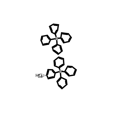 Cl.[Ca+2].c1ccc([B-](c2ccccc2)(c2ccccc2)c2ccccc2)cc1.c1ccc([B-](c2ccccc2)(c2ccccc2)c2ccccc2)cc1